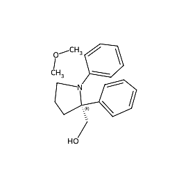 COC.OC[C@]1(c2ccccc2)CCCN1c1ccccc1